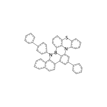 c1ccc(-c2ccc(N3B4c5cccc6c5N(c5ccccc5S6)c5cc(-c6ccccc6)cc(c54)-c4ccc5ccccc5c43)cc2)cc1